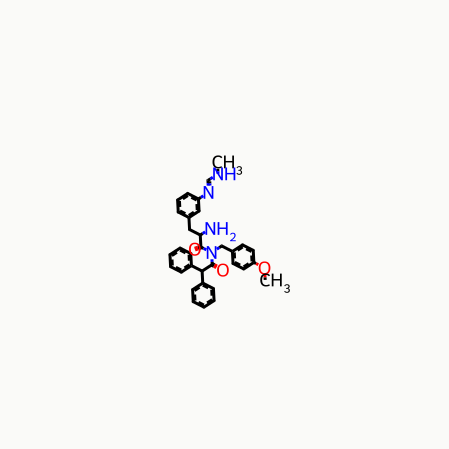 CN/C=N/c1cccc(CC(N)C(=O)N(Cc2ccc(OC)cc2)C(=O)C(c2ccccc2)c2ccccc2)c1